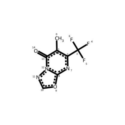 Cc1c(C(F)(F)F)nc2ocnn2c1=O